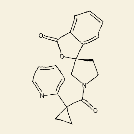 O=C1O[C@]2(CCN(C(=O)C3(c4ccccn4)CC3)C2)c2ccccc21